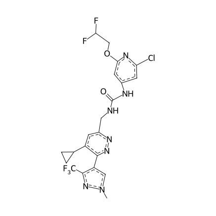 Cn1cc(-c2nnc(CNC(=O)Nc3cc(Cl)nc(OCC(F)F)c3)cc2C2CC2)c(C(F)(F)F)n1